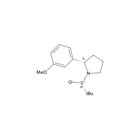 COc1cccc([C@@H]2CCCN2[S@@+]([O-])C(C)(C)C)c1